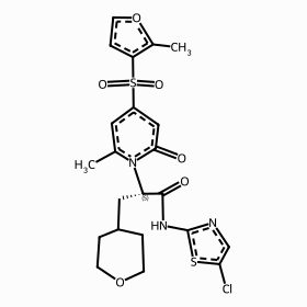 Cc1occc1S(=O)(=O)c1cc(C)n([C@@H](CC2CCOCC2)C(=O)Nc2ncc(Cl)s2)c(=O)c1